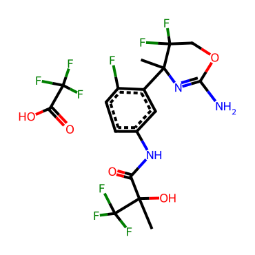 CC(O)(C(=O)Nc1ccc(F)c(C2(C)N=C(N)OCC2(F)F)c1)C(F)(F)F.O=C(O)C(F)(F)F